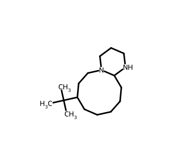 CC(C)(C)C1CCCCCC2NCCCN2CC1